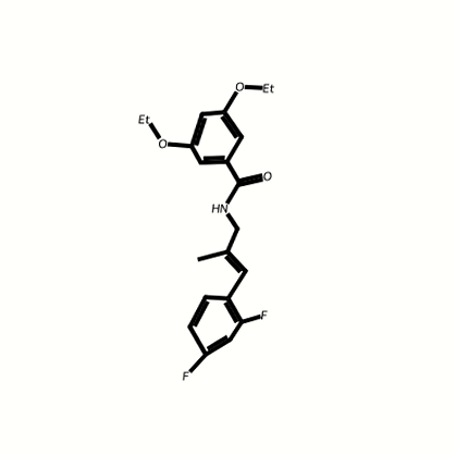 CCOc1cc(OCC)cc(C(=O)NC/C(C)=C/c2ccc(F)cc2F)c1